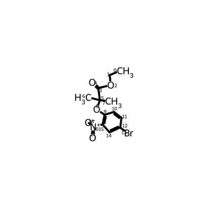 CCOC(=O)C(C)(C)Oc1ccc(Br)cc1[N+](=O)[O-]